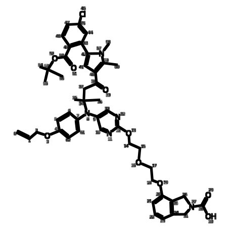 C=CCOc1ccc(N(c2cnc(OCCOCCOc3cccc4c3CN(C(=O)O)C4)nc2)C(C)(C)CC(=O)c2cc(-c3cc(Cl)ccc3C(=O)OC(C)(C)C)n(C)c2C)cc1